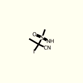 CC(I)(C#N)S(C)(=N)=O